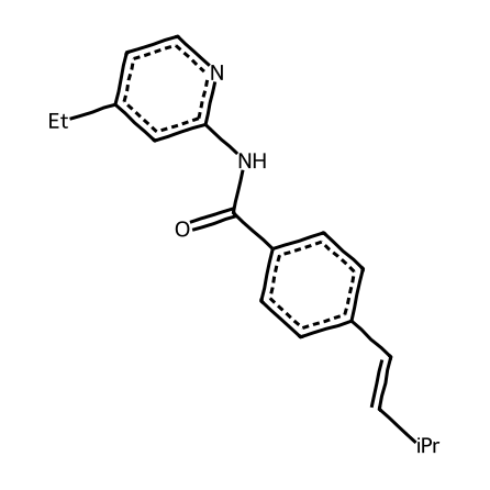 CCc1ccnc(NC(=O)c2ccc(/C=C/C(C)C)cc2)c1